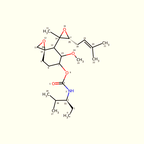 CC[C@H](NC(=O)OC1CC[C@]2(CO2)C(C2(C)O[C@@H]2CC=C(C)C)C1OC)C(C)C